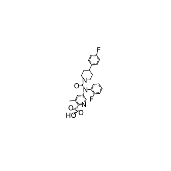 Cc1cc(N(C(=O)N2CCC(c3ccc(F)cc3)CC2)c2ccccc2F)cnc1S(=O)(=O)O